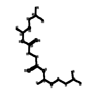 CC(C)CCOC(C)OC(=O)CCC(=O)OC(C)OCC(C)C